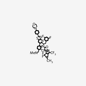 CNCc1ccc(-c2cc3sc(-c4ccc(N5CCOCC5)cc4)nc3nc2C(Cc2cc(F)cc(F)c2)NC(=O)Cn2nc(C(F)(F)F)c3c2C(F)(F)C2C(C)C32)cc1C=O